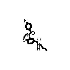 CCCCNC(=O)c1ccc2c(c1)N(C(=O)c1ccc(F)cc1)CCS2